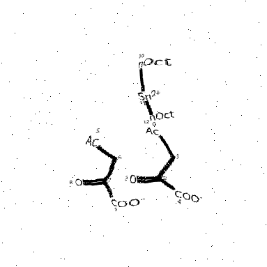 CC(=O)CC(=O)C(=O)[O-].CC(=O)CC(=O)C(=O)[O-].CCCCCCC[CH2][Sn+2][CH2]CCCCCCC